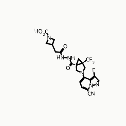 N#Cc1ccc(N2C[C@]3(C(=O)NNC(=O)CC4CN(C(=O)O)C4)C[C@]3(C(F)(F)F)C2)c2c(F)cnn12